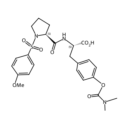 COc1ccc(S(=O)(=O)N2CCC[C@H]2C(=O)N[C@@H](Cc2ccc(OC(=O)N(C)C)cc2)C(=O)O)cc1